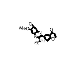 CCNc1nc2cc(OC)c(Cl)cc2nc1-c1ccc2occc(=O)c2c1